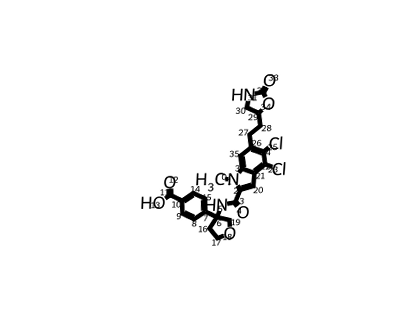 Cn1c(C(=O)NC2(c3ccc(C(=O)O)cc3)CCOC2)cc2c(Cl)c(Cl)c(CCC3CNC(=O)O3)cc21